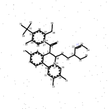 C=C(C1c2cc(C)ccc2-c2cc(C)c(C)c[n+]2C1CCC(/C=C\C)CC)[n+]1cc(C)c(C(C)(C)C)cc1CC